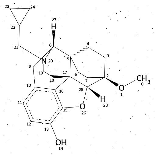 CO[C@]12CC[C@@]3(CC1)[C@H]1Cc4ccc(O)c5c4[C@@]3(CCN1CC1CC1)[C@H]2O5